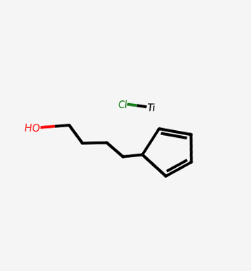 OCCCCC1C=CC=C1.[Cl][Ti]